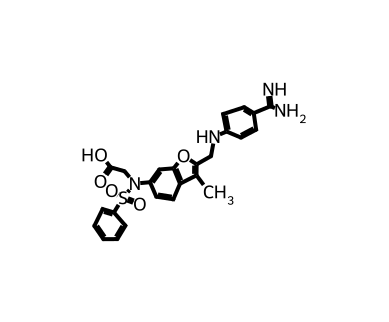 Cc1c(CNc2ccc(C(=N)N)cc2)oc2cc(N(CC(=O)O)S(=O)(=O)c3ccccc3)ccc12